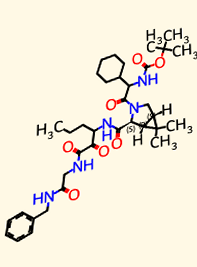 CCCC(NC(=O)[C@@H]1[C@@H]2[C@H](CN1C(=O)C(NC(=O)OC(C)(C)C)C1CCCCC1)C2(C)C)C(=O)C(=O)NCC(=O)NCc1ccccc1